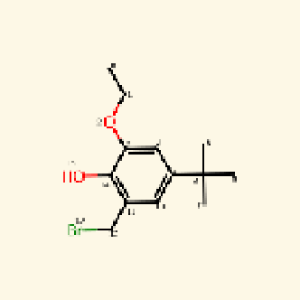 CCOc1cc(C(C)(C)C)cc(CBr)c1O